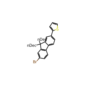 CCCCCCCCCCC1(CCCCCCCCCC)c2cc(Br)ccc2-c2ccc(-c3cccs3)cc21